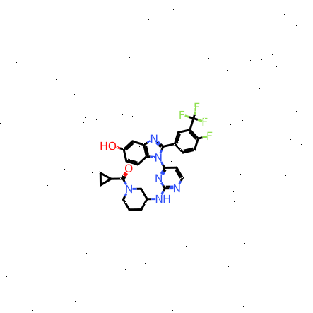 O=C(C1CC1)N1CCCC(Nc2nccc(-n3c(-c4ccc(F)c(C(F)(F)F)c4)nc4cc(O)ccc43)n2)C1